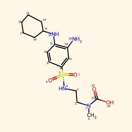 CN(CCNS(=O)(=O)c1ccc(NC2CCCCC2)c(N)c1)C(=O)O